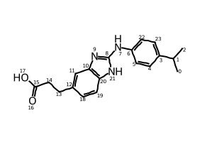 CC(C)c1ccc(Nc2nc3cc(CCC(=O)O)ccc3[nH]2)cc1